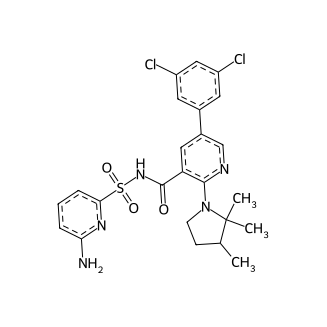 CC1CCN(c2ncc(-c3cc(Cl)cc(Cl)c3)cc2C(=O)NS(=O)(=O)c2cccc(N)n2)C1(C)C